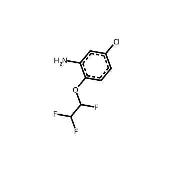 Nc1cc(Cl)ccc1OC(F)C(F)F